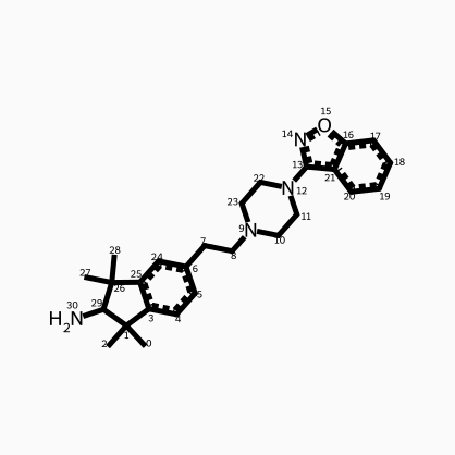 CC1(C)c2ccc(CCN3CCN(c4noc5ccccc45)CC3)cc2C(C)(C)C1N